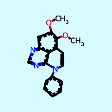 COc1cc2ncnc3c2c(c1OC)C=CN3c1ccccc1